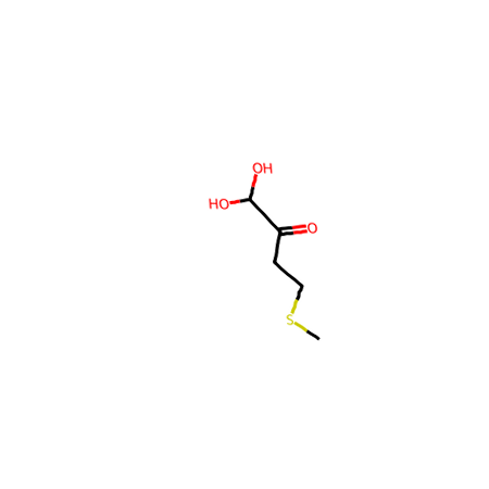 CSCCC(=O)C(O)O